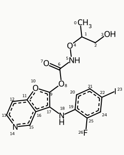 CC(CO)ONC(=O)Oc1oc2ccncc2c1Nc1ccc(I)cc1F